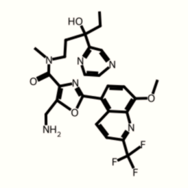 CCC(O)(CCN(C)C(=O)c1nc(-c2ccc(OC)c3nc(C(F)(F)F)ccc23)oc1CN)c1cnccn1